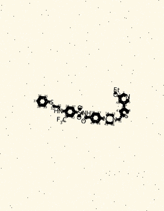 CCOc1cncc(-c2csc(CN3CCN(c4ccc(C(=O)NS(=O)(=O)c5ccc(NCCSc6ccccc6)c(C(F)(F)F)c5)cc4)CC3)c2)c1